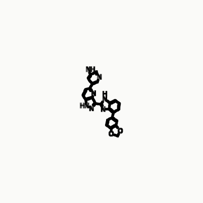 Nc1cncc(-c2ccc3[nH]nc(-c4nc5c(-c6ccc7c(c6)OCO7)cccc5[nH]4)c3n2)c1